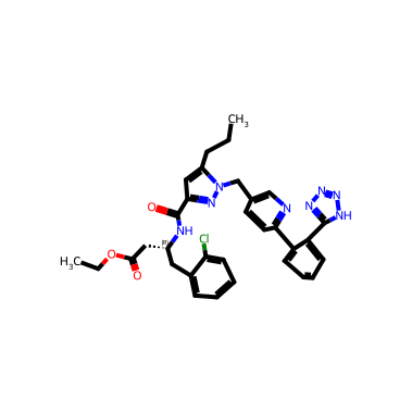 CCCc1cc(C(=O)N[C@@H](CC(=O)OCC)Cc2ccccc2Cl)nn1Cc1ccc(-c2ccccc2-c2nnn[nH]2)nc1